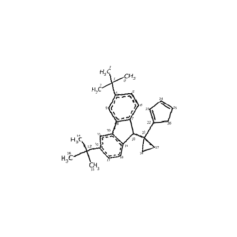 CC(C)(C)c1ccc2c(c1)-c1cc(C(C)(C)C)ccc1C2C1(C2=CC=CC2)CC1